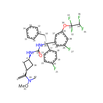 C=C([C@H]1C[C@@H](NC(=O)N[C@](Cc2ccccc2)(c2ccc(F)cc2)c2cc(F)cc(OC(F)(F)C(F)F)c2)C1)N(C)OC